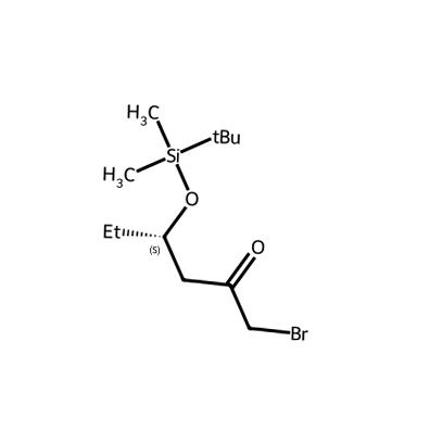 CC[C@@H](CC(=O)CBr)O[Si](C)(C)C(C)(C)C